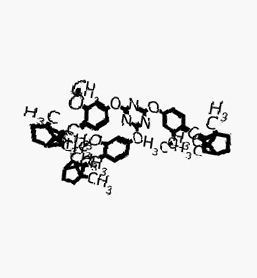 COC1C=C(Oc2nc(OC3=CC(OC)C(=C=C4CC5CCC4(C)C5(C)C)C=C3)nc(OC3=CC(OC)C(=C=C4CC5CCC4(C)C5(C)C)C=C3)n2)C=CC1=C=C1CC2CCC1(C)C2(C)C